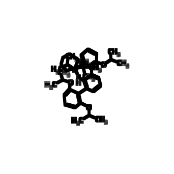 CC(C)Oc1cccc(OC(C)C)c1-c1cccc(-c2c(OC(C)C)cccc2OC(C)C)c1PC1(C(C)(C)C)CCCCC1